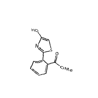 COC(=O)c1ccccc1-c1nc(O)cs1